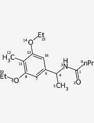 CCCC(=O)NC(C)c1cc(OCC)c(C)c(OCC)c1